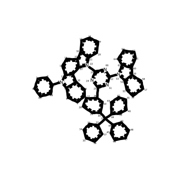 c1ccc(-n2c3ccccc3c3c2ccc2c4ccccc4n(-c4nc(-c5cccc(C(c6ccccc6)(c6ccccc6)c6ccccc6)c5)nc(-n5c6ccccc6c6ccccc65)n4)c23)cc1